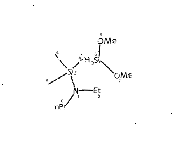 CCCN(CC)[Si](C)(C)C.CO[SiH2]OC